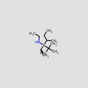 C=C[Si](NCC)(C(C)CC)C(C)(C)C